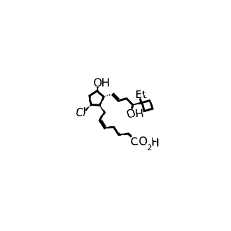 CCC1(C(O)C/C=C/[C@@H]2[C@@H](C/C=C\CCCC(=O)O)[C@@H](Cl)C[C@H]2O)CCC1